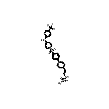 CS(=O)(=O)NCCC1CCN(c2ccc(S(=O)(=O)N3CCC(Nc4ccc(C(F)(F)F)cn4)CC3)cc2)CC1